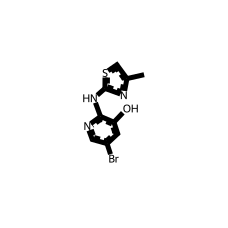 Cc1csc(Nc2ncc(Br)cc2O)n1